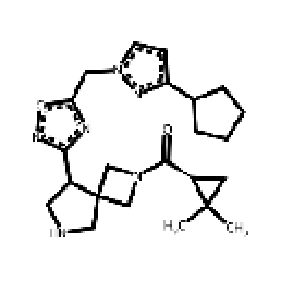 CC1(C)C[C@@H]1C(=O)N1CC2(CNCC2c2noc(Cn3ccc(C4CCCC4)n3)n2)C1